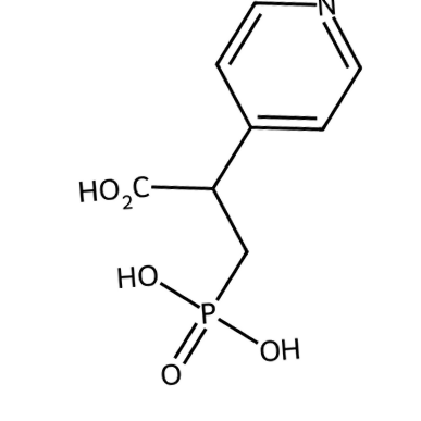 O=C(O)C(CP(=O)(O)O)c1ccncc1